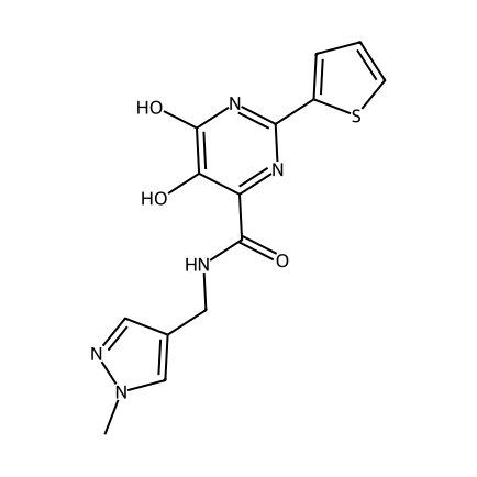 Cn1cc(CNC(=O)c2nc(-c3cccs3)nc(O)c2O)cn1